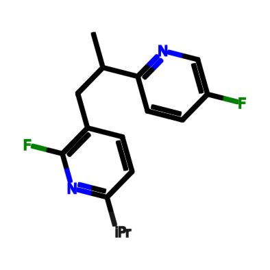 CC(C)c1ccc(CC(C)c2ccc(F)cn2)c(F)n1